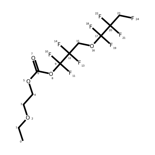 CCOCCOC(=O)OC(F)(F)C(F)(F)COC(F)(F)C(F)(F)CF